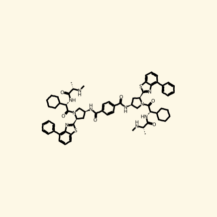 CN[C@@H](C)C(=O)N[C@H](C(=O)N1C[C@@H](NC(=O)c2ccc(C(=O)N[C@H]3C[C@@H](c4nc5c(-c6ccccc6)cccc5s4)N(C(=O)[C@@H](NC(=O)[C@H](C)NC)C4CCCCC4)C3)cc2)C[C@H]1c1nc2c(-c3ccccc3)cccc2s1)C1CCCCC1